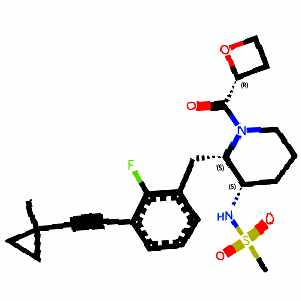 CC1(C#Cc2cccc(C[C@H]3[C@@H](NS(C)(=O)=O)CCCN3C(=O)[C@H]3CCO3)c2F)CC1